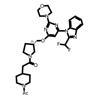 CC(=O)N1CCC(CC(=O)N2CC[C@H](COc3cc(-n4c(C(F)F)nc5ccccc54)nc(N4CCOCC4)n3)C2)CC1